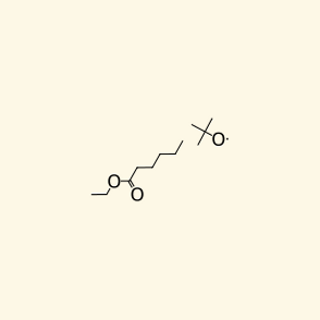 CC(C)(C)[O].CCCCCC(=O)OCC